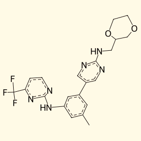 Cc1cc(Nc2nccc(C(F)(F)F)n2)cc(-c2cnc(NCC3COCCO3)nc2)c1